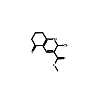 COC(=O)C1=CC2=C(CCCC2=O)NC1O